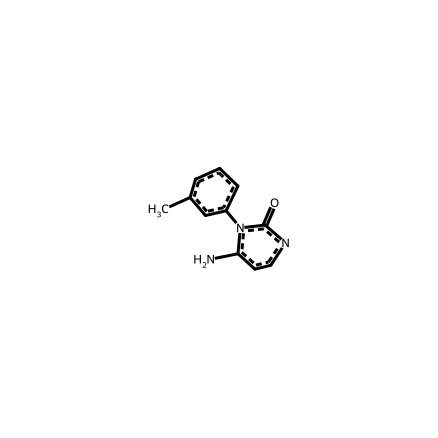 Cc1cccc(-n2c(N)ccnc2=O)c1